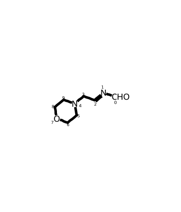 O=CN=CCN1CCOCC1